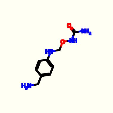 NCc1ccc(NCONC(N)=O)cc1